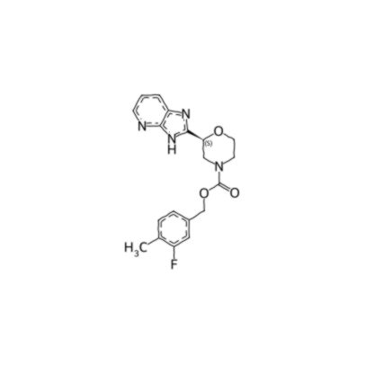 Cc1ccc(COC(=O)N2CCO[C@H](c3nc4cccnc4[nH]3)C2)cc1F